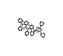 O=c1c2c(ccc3c4ccccc4n(-c4ccccc4)c32)c2ccc3c(c4ccccc4n3-c3nc(-c4ccccc4)nc(-c4ccccc4)n3)c2n1-c1ccccc1